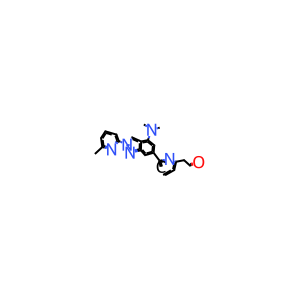 Cc1cccc(-n2cc3c(N(C)C)cc(-c4cccc(CC=O)n4)cc3n2)n1